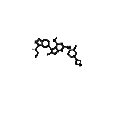 COc1nc(N[C@H]2CCN(C3COC3)C[C@@H]2F)nn2cc(F)c(-c3ccc4nnn([C@@H](C)CF)c4c3)c12